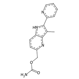 Cc1c(-c2ccccn2)[nH]c2ccc(COC(N)=O)nc12